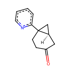 O=C1CCC2(c3ccccn3)C[C@H]2C1